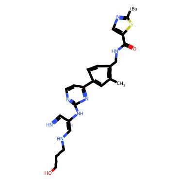 Cc1cc(-c2ccnc(N/C(C=N)=C/NCCCO)n2)ccc1CNC(=O)c1cnc(C(C)(C)C)s1